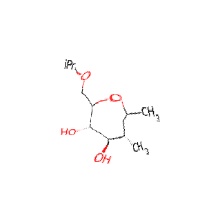 CC(C)OCC1OC(C)[C@H](C)[C@@H](O)[C@@H]1O